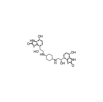 O=c1[nH]c2c(O)ccc([C@@H](O)CNC3CCC(NC[C@H](O)c4ccc(O)c5[nH]c(=O)sc45)CC3)c2s1